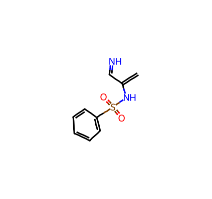 C=C(C=N)NS(=O)(=O)c1ccccc1